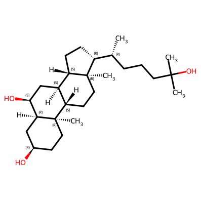 C[C@H](CCCC(C)(C)O)[C@H]1CC[C@H]2[C@@H]3C[C@H](O)[C@@H]4C[C@H](O)CC[C@]4(C)[C@H]3CC[C@]12C